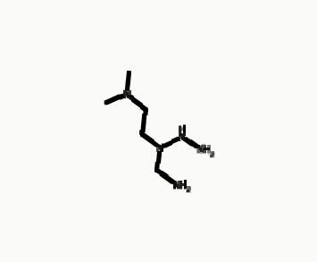 CN(C)CCN(CN)NN